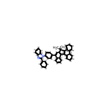 CC1(C)c2cc(-c3ccc(-n4c(-c5ccccc5)nc5ccccc54)cc3)c3ccccc3c2-c2c1c1ccccc1c1ccccc21